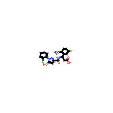 Cc1ccc(F)cc1C(CC(=O)O)NC(=O)c1cc(O)n(-c2ccccc2Cl)n1